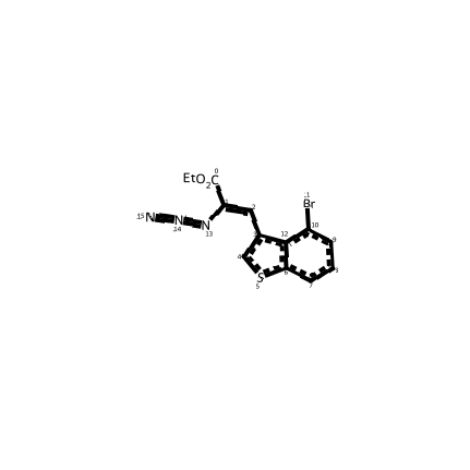 CCOC(=O)C(=Cc1csc2cccc(Br)c12)N=[N+]=[N-]